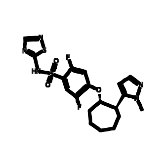 Cn1nccc1[C@H]1CCCCC[C@@H]1Oc1cc(F)c(S(=O)(=O)Nc2ncns2)cc1F